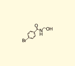 O=C(NCO)c1ccc(Br)cc1